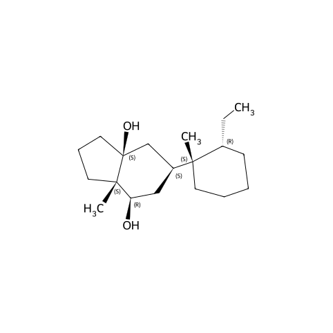 CC[C@@H]1CCCC[C@]1(C)[C@H]1C[C@@H](O)[C@]2(C)CCC[C@]2(O)C1